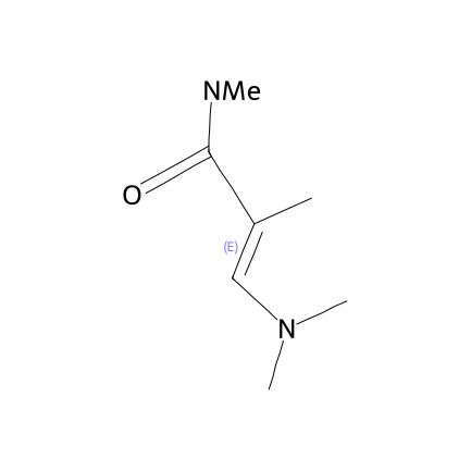 CNC(=O)/C(C)=C/N(C)C